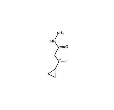 C[C@@H](CC(=O)NN)C1CC1